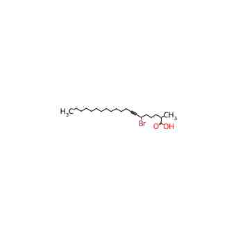 CCCCCCCCCCCCC#CC(Br)CCCC(C)C(=O)O